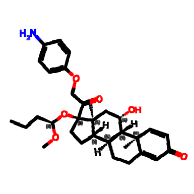 CCC[C@H](OC)O[C@]1(C(=O)COc2ccc(N)cc2)CC[C@H]2[C@@H]3CCC4=CC(=O)C=C[C@]4(C)[C@H]3[C@@H](O)C[C@@]21C